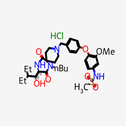 CCCCN1C(=O)[C@@H]([C@H](O)C(CC)CC)NC(=O)C12CCN(Cc1ccc(Oc3ccc(NS(C)(=O)=O)cc3OC)cc1)CC2.Cl